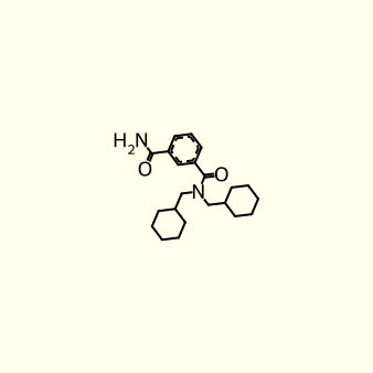 NC(=O)c1cccc(C(=O)N(CC2CCCCC2)CC2CCCCC2)c1